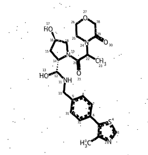 Cc1ncsc1-c1ccc(CNC(O)[C@@H]2C[C@@H](O)CN2C(=O)C(C)N2CCOCC2=O)cc1